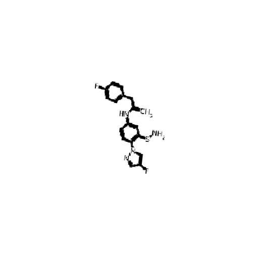 C=C(Cc1ccc(F)cc1)Nc1ccc(-n2cc(F)cn2)c(SN)c1